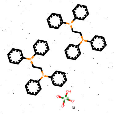 [Ni].[O-][Cl+3]([O-])([O-])O.c1ccc(P(CCP(c2ccccc2)c2ccccc2)c2ccccc2)cc1.c1ccc(P(CCP(c2ccccc2)c2ccccc2)c2ccccc2)cc1